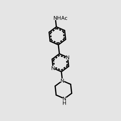 CC(=O)Nc1ccc(-c2cnc(N3CCNCC3)cn2)cc1